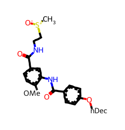 CCCCCCCCCCOc1ccc(C(=O)Nc2cc(C(=O)NCC[S+](C)[O-])ccc2OC)cc1